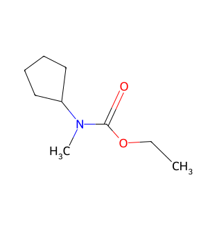 CCOC(=O)N(C)C1CCCC1